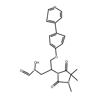 CN1C(=O)N(C(COc2ccc(-c3ccncc3)cc2)CN(O)C=O)C(=O)C1(C)C